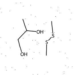 CC(O)CO.CSSC